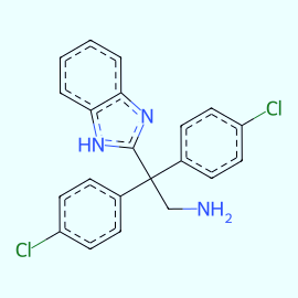 NCC(c1ccc(Cl)cc1)(c1ccc(Cl)cc1)c1nc2ccccc2[nH]1